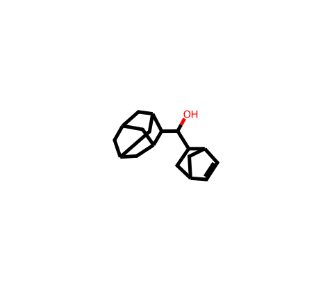 OC(C1CC2C=CC1C2)C1C2CC3CC(C2)CC1C3